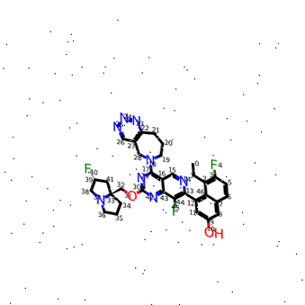 CCc1c(F)ccc2cc(O)cc(-c3ncc4c(N5CCCc6nnncc6C5)nc(OC[C@@]56CCCN5C[C@H](F)C6)nc4c3F)c12